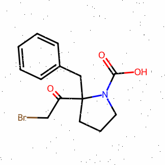 O=C(O)N1CCCC1(Cc1ccccc1)C(=O)CBr